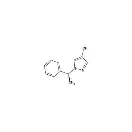 C[C@@H](c1ccccc1)n1cc(O)cn1